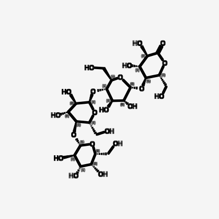 O=C1O[C@H](CO)[C@@H](O[C@H]2O[C@H](CO)[C@@H](O[C@H]3O[C@H](CO)[C@@H](O[C@@H]4O[C@H](CO)[C@H](O)[C@H](O)[C@H]4O)[C@H](O)[C@H]3O)[C@H](O)[C@H]2O)[C@H](O)[C@H]1O